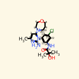 Cc1cc(N2CCOCC[C@@H]2c2ccc(NC(=O)C(C)(C)O)cc2Cl)nc(N)n1